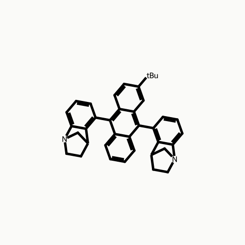 CC(C)(C)c1ccc2c(-c3cccc4c3C3CCN4C3)c3ccccc3c(-c3cccc4c3C3CCN4C3)c2c1